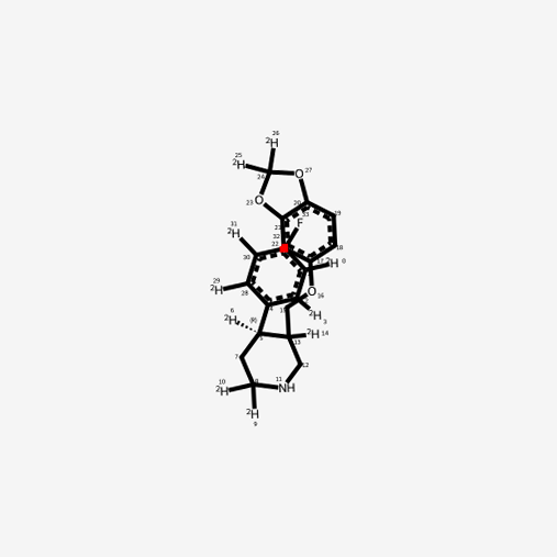 [2H]c1c([2H])c([C@]2([2H])CC([2H])([2H])NCC2([2H])COc2ccc3c(c2)OC([2H])([2H])O3)c([2H])c([2H])c1F